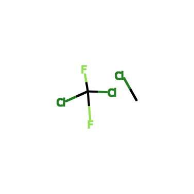 CCl.FC(F)(Cl)Cl